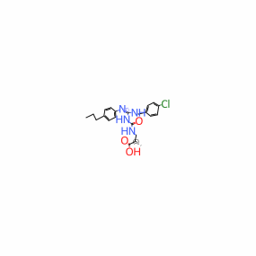 CCCc1ccc(/N=C(/NCc2ccc(Cl)cc2)NC(=O)NC[C@H](C)C(=O)O)cc1